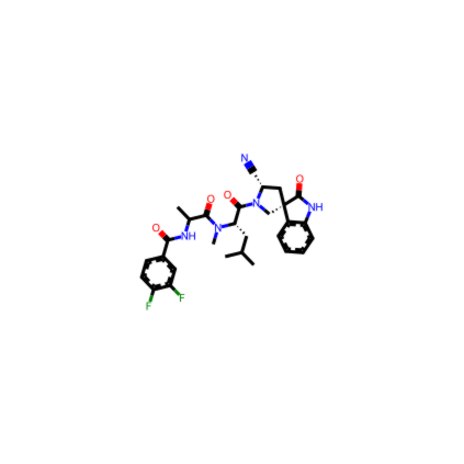 CC(C)C[C@@H](C(=O)N1C[C@]2(C[C@H]1C#N)C(=O)Nc1ccccc12)N(C)C(=O)C(C)NC(=O)c1ccc(F)c(F)c1